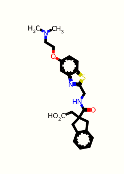 CN(C)CCOc1ccc2sc(CNC(=O)C3(CC(=O)O)Cc4ccccc4C3)nc2c1